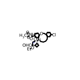 C/C=C/C(C=O)(OCC)[C@@H]1CC[C@H]1CN1CCCCc2cc(Cl)ccc2COc2ccc(C(=O)NS(C)(=O)=O)cc21